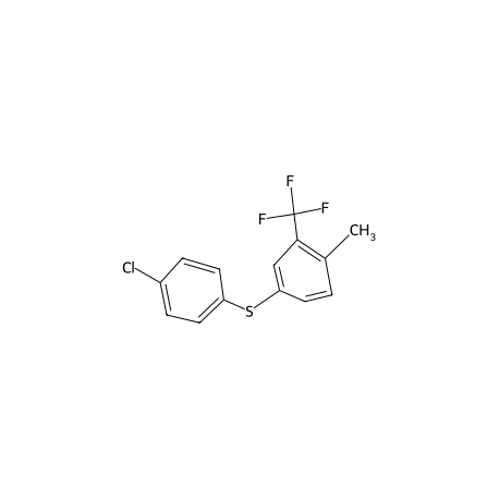 Cc1ccc(Sc2ccc(Cl)cc2)cc1C(F)(F)F